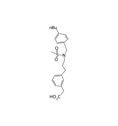 CCCCc1ccc(CN(CCCc2cccc(CC(=O)O)c2)S(C)(=O)=O)cc1